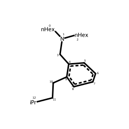 CCCCCCN(CCCCCC)Cc1ccc[c]c1CCC(C)C